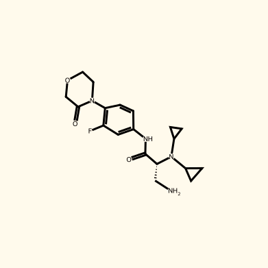 NC[C@H](C(=O)Nc1ccc(N2CCOCC2=O)c(F)c1)N(C1CC1)C1CC1